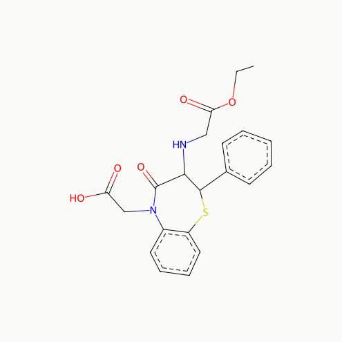 CCOC(=O)CNC1C(=O)N(CC(=O)O)c2ccccc2SC1c1ccccc1